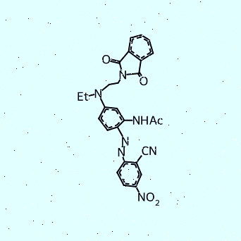 CCN(CCN1C(=O)c2ccccc2C1=O)c1ccc(/N=N/c2ccc([N+](=O)[O-])cc2C#N)c(NC(C)=O)c1